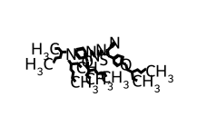 CCCCC(CC)COc1ccc(-c2sc(N=Nc3ccc(N(CC(CC)CCCC)CC(CC)CCCC)cc3OCC(CC)CCCC)nc2C#N)cc1